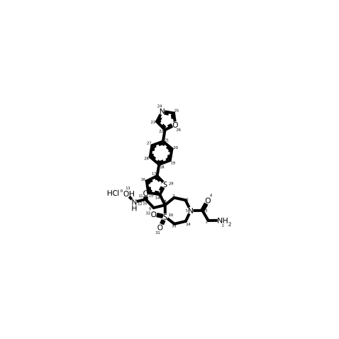 Cl.NCC(=O)N1CCC(CC(=O)NO)(c2ccc(-c3ccc(-c4cnco4)cc3)s2)S(=O)(=O)CC1